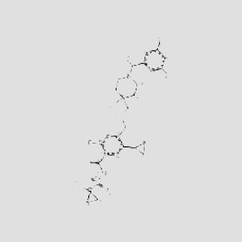 CC(c1cc(F)cc(Cl)c1)N1CCC(F)(COCc2cc(F)c(C(=O)NS(=O)(=O)C3(C)CC3)cc2C2CC2)CC1